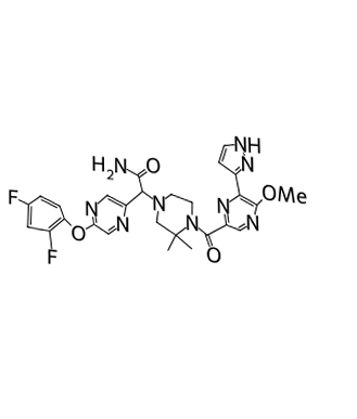 COc1ncc(C(=O)N2CCN(C(C(N)=O)c3cnc(Oc4ccc(F)cc4F)cn3)CC2(C)C)nc1-c1cc[nH]n1